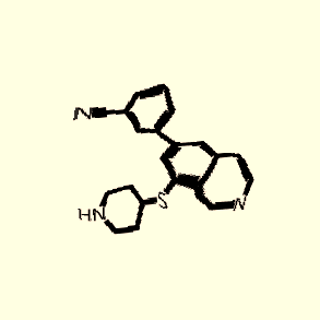 N#Cc1cccc(-c2cc(SC3CCNCC3)c3cnccc3c2)c1